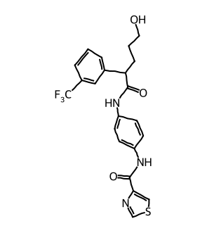 O=C(Nc1ccc(NC(=O)C(CCCO)c2cccc(C(F)(F)F)c2)cc1)c1cscn1